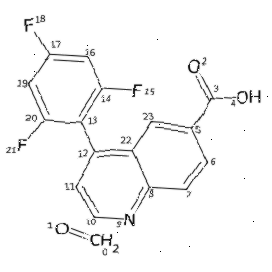 C=O.O=C(O)c1ccc2nccc(-c3c(F)cc(F)cc3F)c2c1